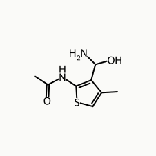 CC(=O)Nc1scc(C)c1C(N)O